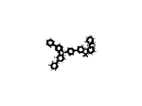 CC1(C)c2cc(-c3ccc(-n4c5ccc(-c6ccccc6)cc5c5cc(-c6ccccc6)ccc54)cc3)ccc2-c2c1ccc1sc3ccccc3c21